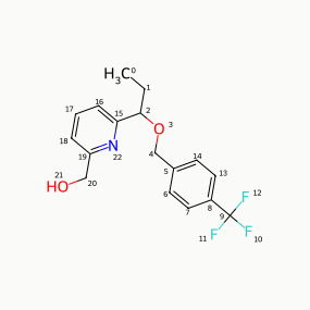 CCC(OCc1ccc(C(F)(F)F)cc1)c1cccc(CO)n1